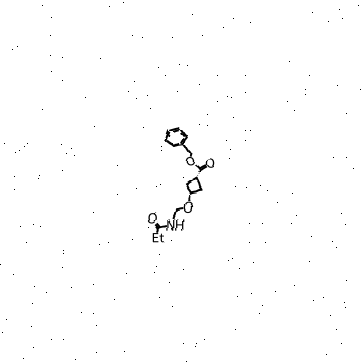 CCC(=O)NCO[C@H]1C[C@H](C(=O)OCc2ccccc2)C1